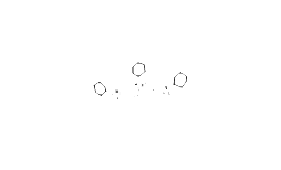 O=S(=O)(OCCN(CCOS(=O)(=O)c1ccccc1)S(=O)(=O)c1ccccc1)c1ccccc1